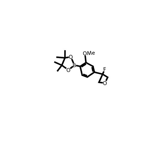 COc1cc(C2(F)COC2)ccc1B1OC(C)(C)C(C)(C)O1